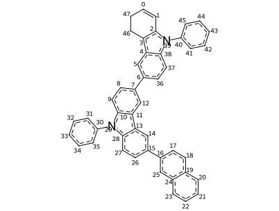 C1=Cc2c(c3cc(-c4ccc5c(c4)c4cc(-c6ccc7ccccc7c6)ccc4n5-c4ccccc4)ccc3n2-c2ccccc2)CC1